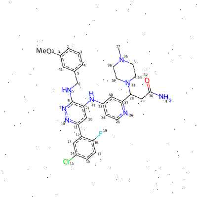 COc1cccc(CNc2nnc(-c3cc(Cl)ccc3F)cc2Nc2ccnc(C(CC(N)=O)N3CCN(C)CC3)c2)c1